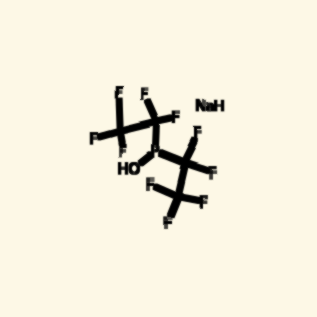 OP(C(F)(F)C(F)(F)F)C(F)(F)C(F)(F)F.[NaH]